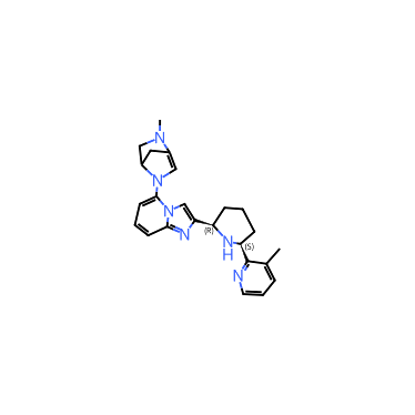 Cc1cccnc1[C@@H]1CCC[C@H](c2cn3c(N4C=C5CC4CN5C)cccc3n2)N1